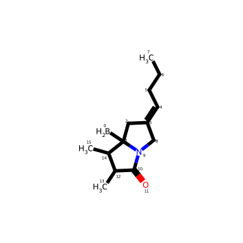 BC12C/C(=C\CCC)CN1C(=O)C(C)C2C